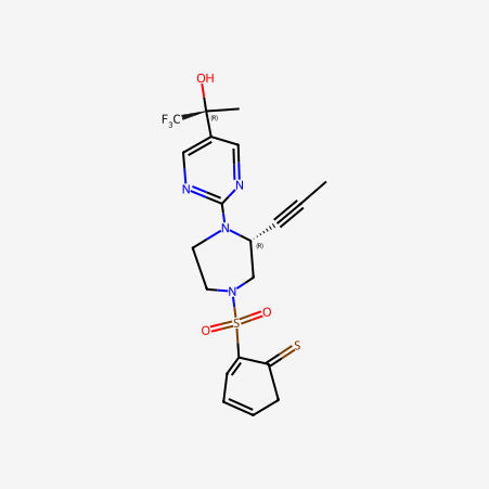 CC#C[C@@H]1CN(S(=O)(=O)C2=CC=CCC2=S)CCN1c1ncc([C@@](C)(O)C(F)(F)F)cn1